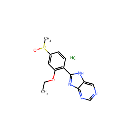 CCOc1cc([S+](C)[O-])ccc1-c1nc2ncncc2[nH]1.Cl